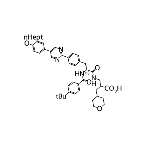 CCCCCCCOc1ccc(-c2cnc(-c3ccc(C[C@H](NC(=O)c4ccc(C(C)(C)C)cc4)C(=O)NCC(CC4CCOCC4)C(=O)O)cc3)nc2)cc1